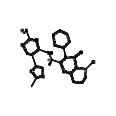 Cc1ncc(-c2cnc(N)nc2N[C@H](C)c2nc3cccc(Cl)c3c(=O)n2-c2ccccc2)s1